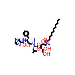 CCCCCCCCCCCC(=O)N(C)CC(O)C1OB([C@H](CC(C)C)NC2OC2[C@H](Cc2ccccc2)NC(=O)c2cnccn2)O[C@@H]1C(O)CO